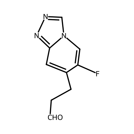 O=CCCc1cc2nncn2cc1F